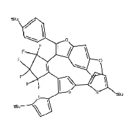 CC(C)(C)c1ccc(-c2oc3cc4c(cc3c2C2=C(c3cc(-c5ccc(C(C)(C)C)s5)sc3-c3ccc(C(C)(C)C)s3)C(F)(F)C(F)(F)C2(F)F)OCO4)cc1